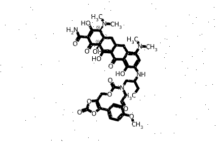 CCC(CN(CC=O)C(=O)OCc1oc(=O)oc1-c1ccc(OC)cc1)Nc1cc(N(C)C)c2c(c1O)C(=O)C1=C(O)[C@]3(O)C(=O)C(C(N)=O)=C(O)[C@@H](N(C)C)C3CC1C2